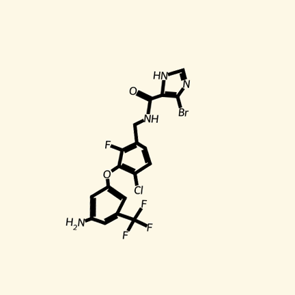 Nc1cc(Oc2c(Cl)ccc(CNC(=O)c3[nH]cnc3Br)c2F)cc(C(F)(F)F)c1